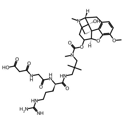 COc1ccc2c3c1O[C@H]1C(OC(=O)N(C)CC(C)(C)CNC(=O)[C@@H](CCCNC(=N)N)NC(=O)CNC(=O)CC(=O)O)CC45C[C@]31[C@]4(O)[C@@H](C2)N5C